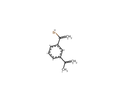 C=C(C)c1cccc(C(=C)Br)c1